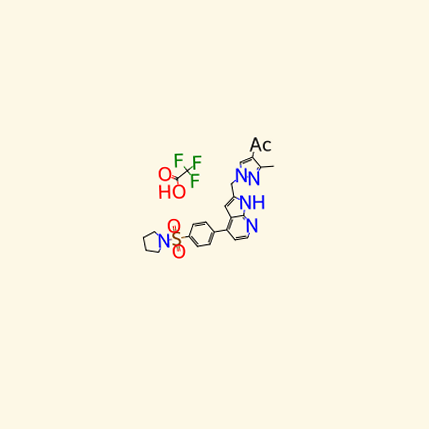 CC(=O)c1cn(Cc2cc3c(-c4ccc(S(=O)(=O)N5CCCC5)cc4)ccnc3[nH]2)nc1C.O=C(O)C(F)(F)F